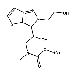 CN(CC(O)C1C2SC=CC2=NN1CCO)C(=O)OC(C)(C)C